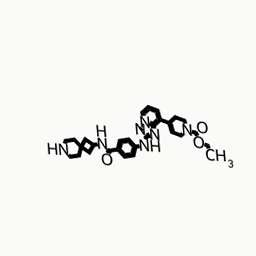 CCOC(=O)N1CC=C(c2cccn3nc(Nc4ccc(C(=O)NC5CC6(CCNCC6)C5)cc4)nc23)CC1